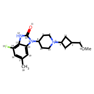 COCC1CC(N2CCC(n3c(=O)[nH]c4c(F)cc(C)cc43)CC2)C1